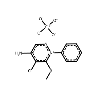 CSc1c(Cl)c(N)cn[n+]1-c1ccccc1.[O-][Cl+3]([O-])([O-])[O-]